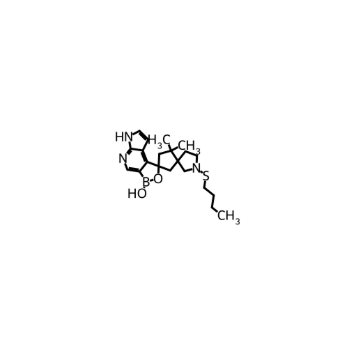 CCCCSN1CCC2(C1)CC1(CC2(C)C)OB(O)c2cnc3[nH]ccc3c21